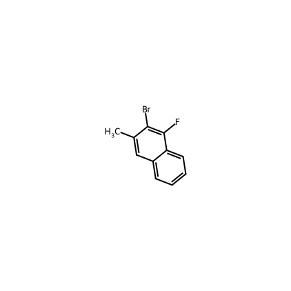 Cc1cc2ccccc2c(F)c1Br